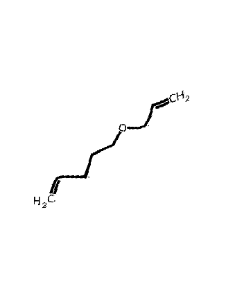 C=C[CH]CCO[CH]C=C